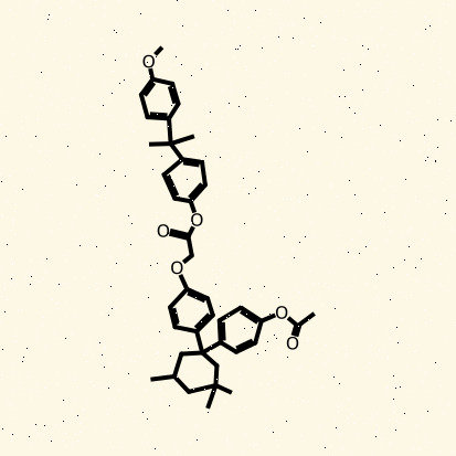 COc1ccc(C(C)(C)c2ccc(OC(=O)COc3ccc(C4(c5ccc(OC(C)=O)cc5)CC(C)CC(C)(C)C4)cc3)cc2)cc1